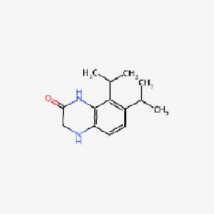 CC(C)c1ccc2c(c1C(C)C)NC(=O)CN2